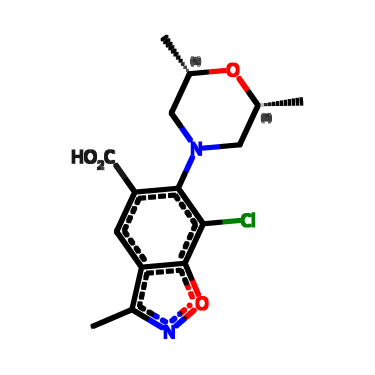 Cc1noc2c(Cl)c(N3C[C@@H](C)O[C@@H](C)C3)c(C(=O)O)cc12